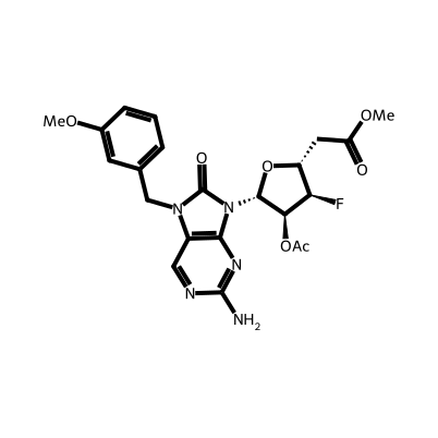 COC(=O)C[C@H]1O[C@@H](n2c(=O)n(Cc3cccc(OC)c3)c3cnc(N)nc32)[C@H](OC(C)=O)[C@@H]1F